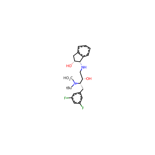 CC(C)(C)N(C(=O)O)[C@@H](Cc1cc(F)cc(F)c1)[C@@H](O)CN[C@H]1c2ccccc2C[C@H]1O